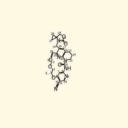 COC[C@@H](C)Oc1cc(NC(=O)N2CCCc3cc(CN4C(=O)OCC45CC5)c(C=O)nc32)ncc1C#N